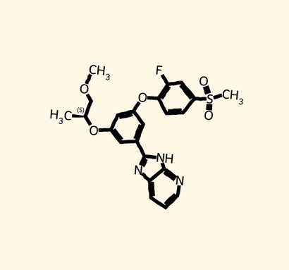 COC[C@H](C)Oc1cc(Oc2ccc(S(C)(=O)=O)cc2F)cc(-c2nc3cccnc3[nH]2)c1